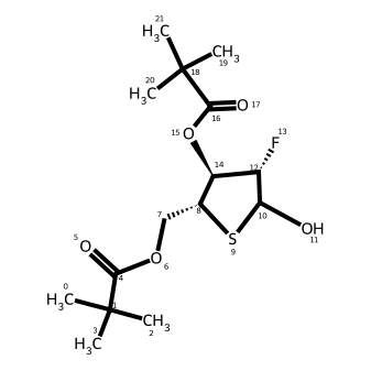 CC(C)(C)C(=O)OC[C@H]1SC(O)[C@@H](F)[C@@H]1OC(=O)C(C)(C)C